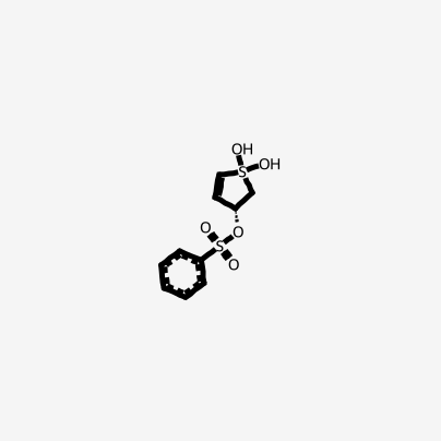 O=S(=O)(O[C@@H]1C=CS(O)(O)C1)c1ccccc1